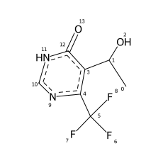 CC(O)c1c(C(F)(F)F)nc[nH]c1=O